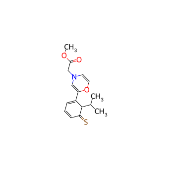 COC(=O)CN1C=COC(C2=CC=CC(=S)C2C(C)C)=C1